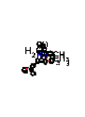 C=C(/N=C(\N=C(/C)c1cccc2c1-c1ccccc1C2(C)C)C1c2ccccc2-c2cc(-c3ccc4c(c3)c3ccccc3n4-c3ccccc3)ccc21)c1cccc2oc3ccccc3c12